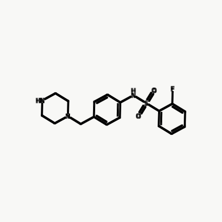 O=S(=O)(Nc1ccc(CN2CCNCC2)cc1)c1ccccc1F